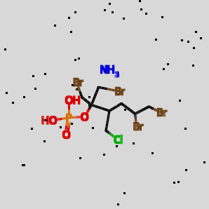 N.O=P(O)(O)OC(CBr)(CBr)C(CCl)CC(Br)CBr